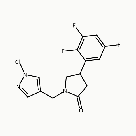 O=C1CC(c2cc(F)cc(F)c2F)CN1Cc1cnn(Cl)c1